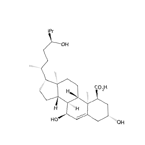 CC(C)[C@@H](O)CC[C@@H](C)[C@H]1CC[C@H]2[C@@H]3[C@H](O)C=C4C[C@@H](O)C[C@H](C(=O)O)[C@]4(C)[C@H]3CC[C@]12C